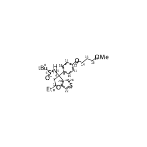 CCC(=O)CC(N[S+]([O-])C(C)(C)C)(c1ccc(OCCCOC)cc1)c1ccsc1